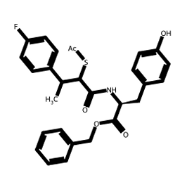 CC(=O)SC(C(=O)N[C@@H](Cc1ccc(O)cc1)C(=O)OCc1ccccc1)C(C)c1ccc(F)cc1